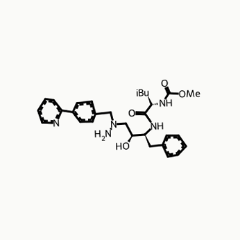 CC[C@H](C)[C@H](NC(=O)OC)C(=O)N[C@@H](Cc1ccccc1)[C@@H](O)CN(N)Cc1ccc(-c2ccccn2)cc1